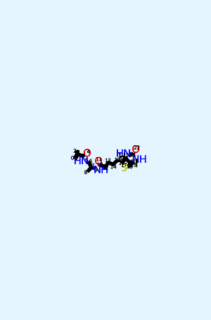 C=C(C)C(=O)NCC(C)NC(=O)CCCC[C@@H]1SC[C@@H]2NC(=O)N[C@@H]21